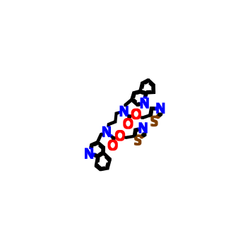 O=C(OCc1cncs1)N(CCCN(Cc1cnc2ccccc2c1)C(=O)OCc1cncs1)Cc1cnc2ccccc2c1